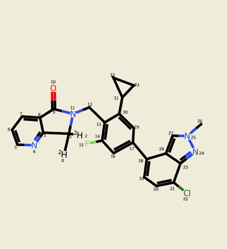 [2H]C1([2H])c2ncccc2C(=O)N1Cc1c(F)cc(-c2ccc(Cl)c3nn(C)cc23)cc1C1CC1